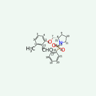 Cc1cccc(OC[C@@H]2CCCN2S(=O)(=O)c2ccccc2)c1C=O